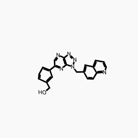 OCc1cccc(-c2cnc3nnn(Cc4ccc5ncccc5c4)c3n2)c1